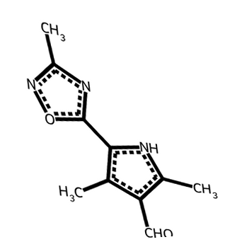 Cc1noc(-c2[nH]c(C)c(C=O)c2C)n1